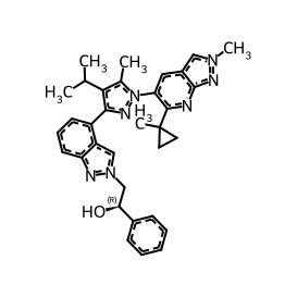 Cc1c(C(C)C)c(-c2cccc3nn(C[C@H](O)c4ccccc4)cc23)nn1-c1cc2cn(C)nc2nc1C1(C)CC1